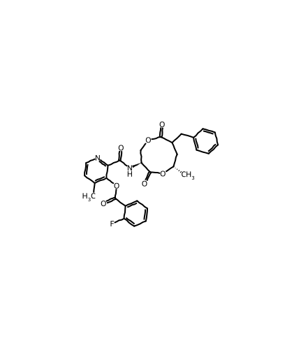 Cc1ccnc(C(=O)N[C@H]2COC(=O)C(Cc3ccccc3)C[C@H](C)OC2=O)c1OC(=O)c1ccccc1F